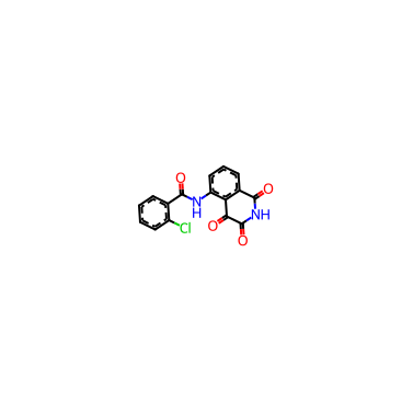 O=C1NC(=O)c2cccc(NC(=O)c3ccccc3Cl)c2C1=O